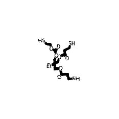 CCC(COC(=O)CCS)(COC(=O)CCS)COC(=O)OCCS